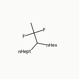 CCCCCCCC(CCCCCC)C(C)(F)F